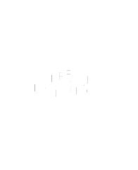 FC(F)(F)C(F)(F)CC(F)(F)C(F)(F)C(F)(F)C(F)(F)F